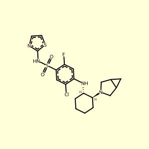 O=S(=O)(Nc1nccs1)c1cc(Cl)c(N[C@H]2CCCC[C@@H]2N2CC3CC3C2)cc1F